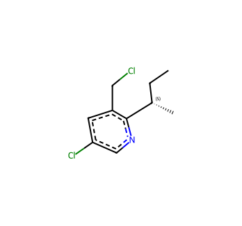 CC[C@H](C)c1ncc(Cl)cc1CCl